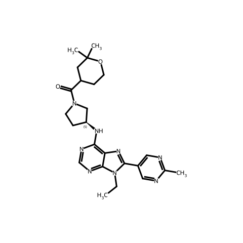 CCn1c(-c2cnc(C)nc2)nc2c(N[C@H]3CCN(C(=O)C4CCOC(C)(C)C4)C3)ncnc21